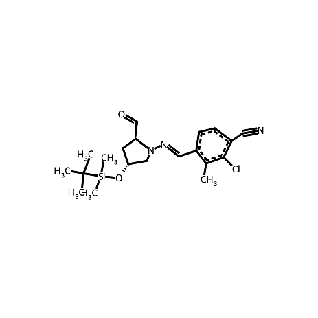 Cc1c(/C=N/N2C[C@H](O[Si](C)(C)C(C)(C)C)C[C@H]2C=O)ccc(C#N)c1Cl